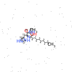 CCCCCCCCCC(O)NC(Cc1c[nH]cn1)C(=O)NC